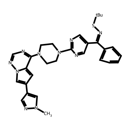 Cn1cc(-c2cc3c(N4CCN(c5ncc(/C(=N\SC(C)(C)C)c6ccccc6)cn5)CC4)ncnn3c2)cn1